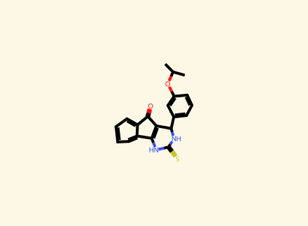 CC(C)Oc1cccc(C2NC(=S)NC3=C2C(=O)c2ccccc23)c1